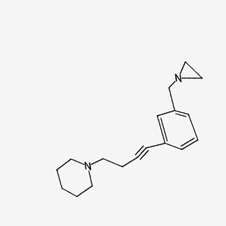 C(#Cc1cccc(CN2CC2)c1)CCN1CCCCC1